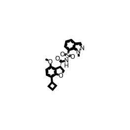 COc1ccc(C2CCC2)c2c1[C@H](C(=O)NS(=O)(=O)c1cccc3cnn(C)c13)CO2